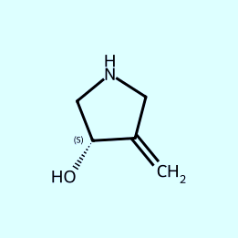 C=C1CNC[C@H]1O